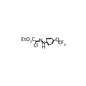 CCOC(=O)/C(Cl)=N/Nc1ccc(OC(F)(F)F)cc1